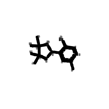 CCc1cnc(C)cc1B1OC(C)(C)C(C)(C)O1